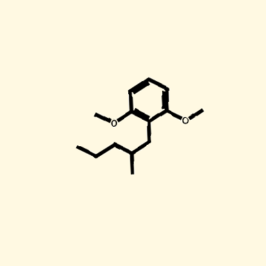 CCCC(C)Cc1c(OC)cccc1OC